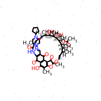 CC(=O)O[C@H]1[C@H](C)[C@H](O)[C@H](C)[C@@H](O)[C@@H](C)/C=C/C=C(/C)C(=O)NC2=C(/C=N/N3CCN(C4CCCC4)CC3)C(=O)c3c(c(O)c(C)c4c3C(=O)[C@@](C)(O/C=C/[C@H](C)[C@H]1C)O4)C2=O